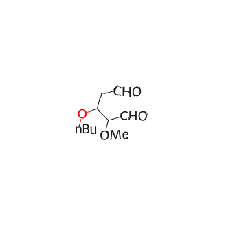 CCCCOC(CC=O)C(C=O)OC